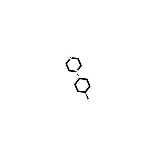 C[C@H]1CC[C@H](N2CCSCC2)CC1